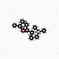 c1ccc(-c2ccc3c(c2)c2ccccc2n3-c2c(-c3cccc(-c4cccc5c4oc4cccc(-c6cccc(-c7nc(-c8ccccc8)nc(-c8ccccc8)n7)c6)c45)c3)ccc3oc4ccccc4c23)cc1